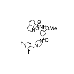 COc1cc(C(=O)N2CCN(Cc3ccc(F)cc3F)CC2)ccc1NS(=O)(=O)c1cccc2cccnc12